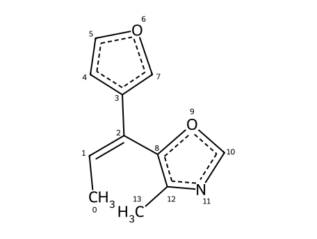 CC=C(c1ccoc1)c1ocnc1C